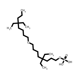 CCCC(CC)(CC)CCCCOCCCCC(CC)(CC)CCCOP(=O)(O)O